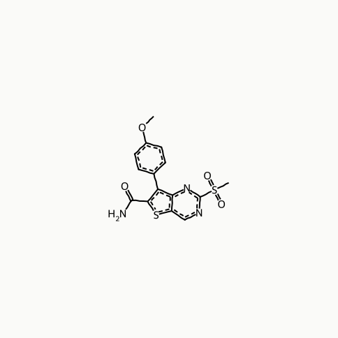 COc1ccc(-c2c(C(N)=O)sc3cnc(S(C)(=O)=O)nc23)cc1